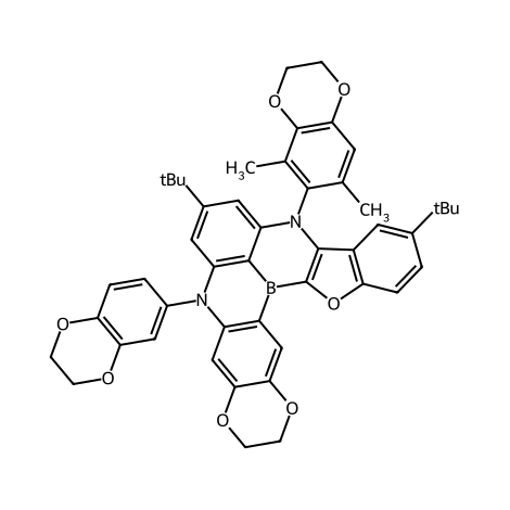 Cc1cc2c(c(C)c1N1c3cc(C(C)(C)C)cc4c3B(c3cc5c(cc3N4c3ccc4c(c3)OCCO4)OCCO5)c3oc4ccc(C(C)(C)C)cc4c31)OCCO2